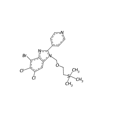 C[Si](C)(C)CCOCn1c(-c2ccncc2)nc2c(Br)c(Cl)c(Cl)cc21